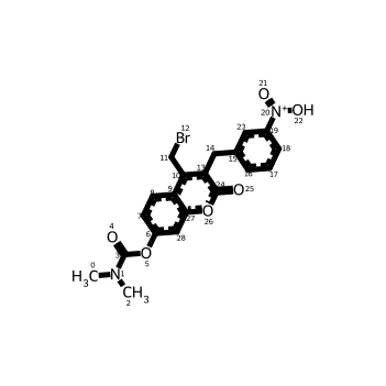 CN(C)C(=O)Oc1ccc2c(CBr)c(Cc3cccc([N+](=O)O)c3)c(=O)oc2c1